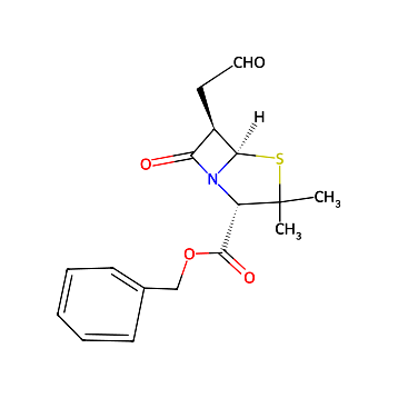 CC1(C)S[C@@H]2[C@H](CC=O)C(=O)N2[C@H]1C(=O)OCc1ccccc1